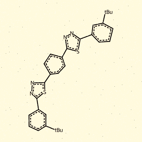 CC(C)(C)c1cccc(-c2nnc(-c3ccc(-c4nnc(-c5cccc(C(C)(C)C)c5)s4)cc3)s2)c1